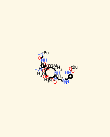 CC[C@H]1OC(=O)[C@H](C)C(=O)[C@H](C)[C@@H](O[C@@H]2O[C@H](CNC(=O)CNC(C)(C)C)CC(N)C2O)[C@](C)(OC)C[C@@H](C)CN[C@H](C)[C@H]2N(CCCCn3cc(-c4cccc(NC(=O)OC(C)(C)C)c4)nn3)C(=O)O[C@]12C